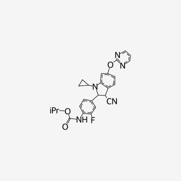 CC(C)OC(=O)Nc1ccc(C2C(C#N)c3ccc(Oc4ncccn4)cc3N2C2CC2)cc1F